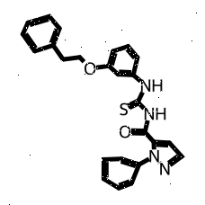 O=C(NC(=S)Nc1cccc(OCCc2ccccc2)c1)c1ccnn1-c1ccccc1